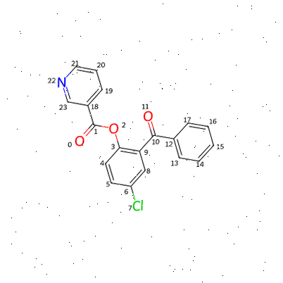 O=C(Oc1ccc(Cl)cc1C(=O)c1ccccc1)c1cccnc1